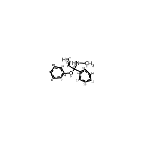 C=CC(NC)(Oc1ccccc1)c1ccccc1